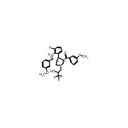 COc1cccc(C(=O)[C@H]2CN(CC(O)C(F)(F)F)C[C@H](C(=O)c3cccc(OC)c3)C2c2cccc(F)c2C)c1